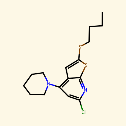 CCCCSc1cc2c(N3CCCCC3)cc(Cl)nc2s1